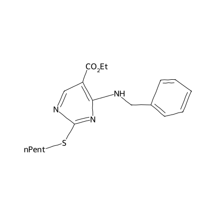 CCCCCSc1ncc(C(=O)OCC)c(NCc2ccccc2)n1